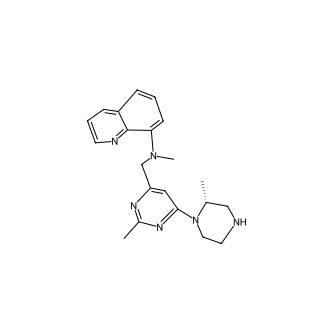 Cc1nc(CN(C)c2cccc3cccnc23)cc(N2CCNC[C@H]2C)n1